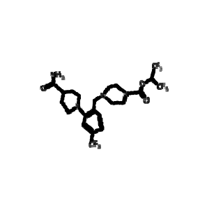 NC(=O)C1CCN(c2cc(C(F)(F)F)ccc2CN2CCN(C(=O)OC(C(F)(F)F)C(F)(F)F)CC2)CC1